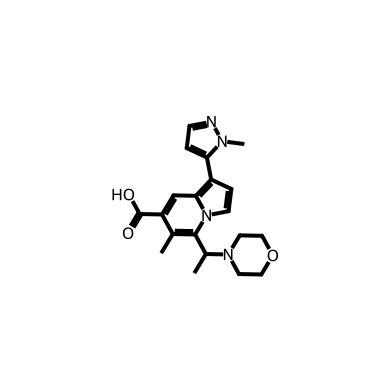 Cc1c(C(=O)O)cc2c(-c3ccnn3C)ccn2c1C(C)N1CCOCC1